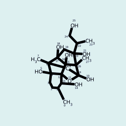 CC1CCC2(O)C3(C)CC4(O)OC2(C1O)C1(O)C3(O)CC(O)(C(C)CO)C41C